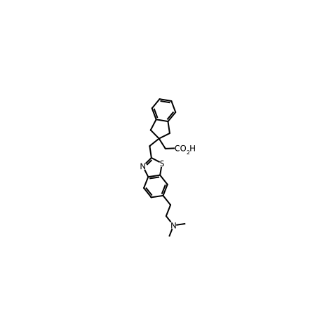 CN(C)CCc1ccc2nc(CC3(CC(=O)O)Cc4ccccc4C3)sc2c1